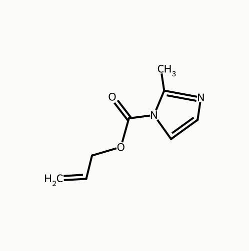 C=CCOC(=O)n1ccnc1C